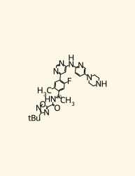 Cc1cc(-c2cc(Nc3ccc(N4CCNCC4)cn3)ncn2)c(F)cc1[C@@H](C)NC(=O)c1nc(C(C)(C)C)no1